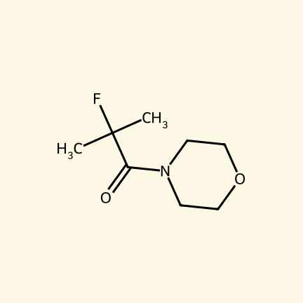 CC(C)(F)C(=O)N1CCOCC1